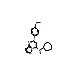 CSc1ccc(-c2cc(NC3CCCCC3)n3nccc3n2)cc1